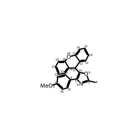 COc1ccc(-c2nc(C)oc2C2c3ccccc3Oc3ccccc32)cc1